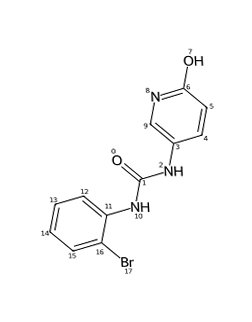 O=C(Nc1ccc(O)nc1)Nc1ccccc1Br